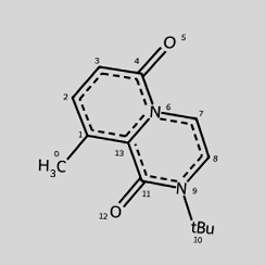 Cc1ccc(=O)n2ccn(C(C)(C)C)c(=O)c12